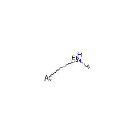 CC[C@H](CCCCCCCCCCCCCCCCCCC(C)=O)NCCCCCC1CCC1